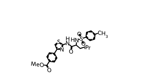 COC(=O)c1ccc(-c2csc(NC(=O)C(CC(C)C)NS(=O)(=O)c3ccc(C)cc3)n2)cc1